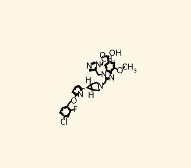 CCn1cncc1Cn1c(CN2C[C@@H]3[C@H](C2)[C@H]3c2cccc(OCc3ccc(Cl)cc3F)n2)nc2c(OC)cc(C(=O)O)cc21